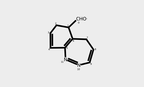 O=[C]C1CC=CC2=C1CC=CN=N2